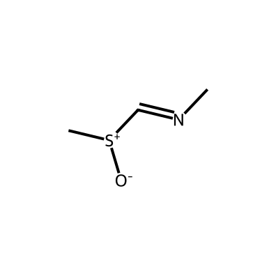 CN=C[S+](C)[O-]